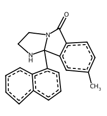 Cc1ccc2c(c1)C1(c3cccc4ccccc34)NCCN1C2=O